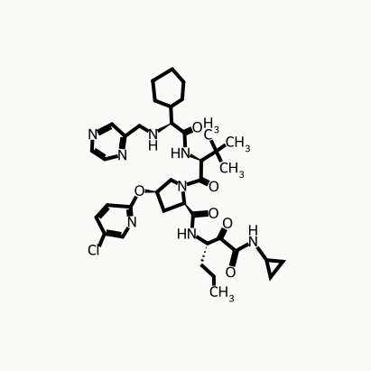 CCC[C@H](NC(=O)[C@H]1C[C@@H](Oc2ccc(Cl)cn2)CN1C(=O)[C@@H](NC(=O)[C@@H](NCc1cnccn1)C1CCCCC1)C(C)(C)C)C(=O)C(=O)NC1CC1